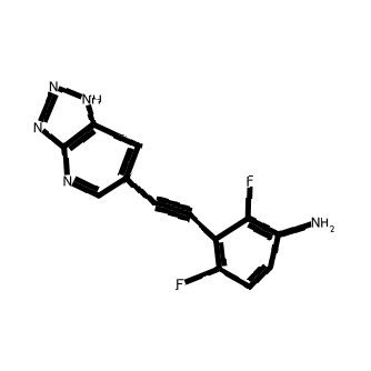 Nc1ccc(F)c(C#Cc2cnc3nn[nH]c3c2)c1F